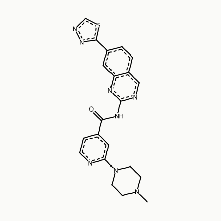 CN1CCN(c2cc(C(=O)Nc3ncc4ccc(-c5nncs5)cc4n3)ccn2)CC1